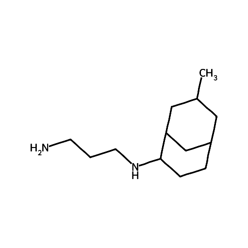 CC1CC2CCC(NCCCN)C(C1)C2